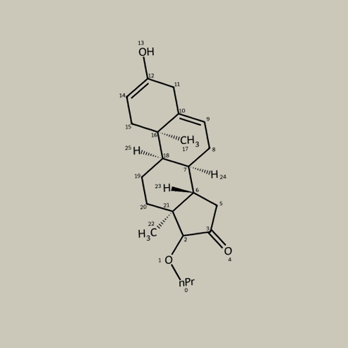 CCCOC1C(=O)C[C@H]2[C@@H]3CC=C4CC(O)=CC[C@]4(C)[C@@H]3CC[C@]12C